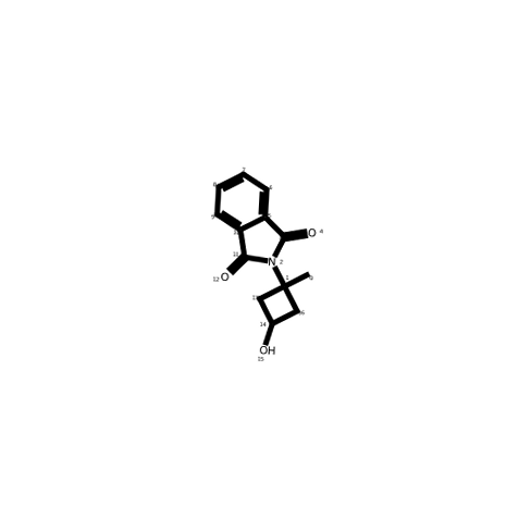 CC1(N2C(=O)c3ccccc3C2=O)CC(O)C1